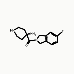 NC1(C(=O)N2Cc3ccc(F)cc3C2)CCNCC1